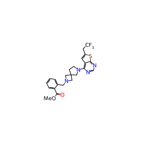 COC(=O)c1ccccc1CN1CC2(CCN(c3ncnc4sc(CC(F)(F)F)cc34)C2)C1